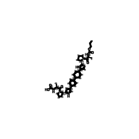 CCCOC(=O)N[C@@H](C)C(=O)N1CCC[C@H]1c1ncc(-c2ccc(-c3ccc(-c4c[nH]c([C@@H]5CCCN5C(=O)[C@H](C)NC(=O)O)n4)cc3)cc2)[nH]1